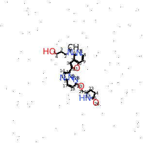 CN(CCCO)c1nccc2oc(-c3cnc4ccc(OC[C@H]5CCC(=O)N5)nn34)cc12